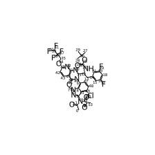 CC(=O)N(c1nn(C)c2c(-n3c(C(Cc4cc(F)cc(F)c4)NC(=O)OC(C)(C)C)nc4nc(OCC(F)(F)C(F)F)ccc4c3=O)ccc(Cl)c12)S(C)(=O)=O